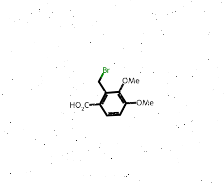 COc1ccc(C(=O)O)c(CBr)c1OC